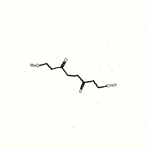 COCCC(=O)CCC(=O)CC[C]=O